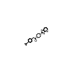 O=C(Cc1ccc(C2CC2)cc1)N1CCN(c2nc3ncccc3s2)CC1